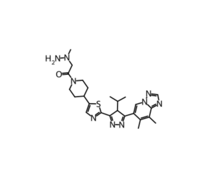 Cc1c(C2=NN=C(c3ncc(C4CCN(C(=O)CN(C)N)CC4)s3)C2C(C)C)cn2ncnc2c1C